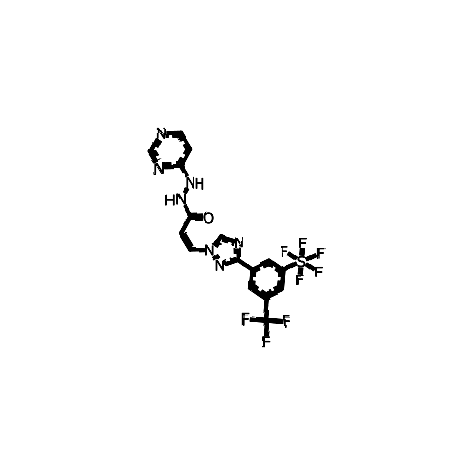 O=C(/C=C\n1cnc(-c2cc(C(F)(F)F)cc(S(F)(F)(F)(F)F)c2)n1)NNc1ccncn1